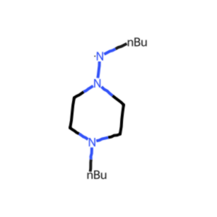 CCCC[N]N1CCN(CCCC)CC1